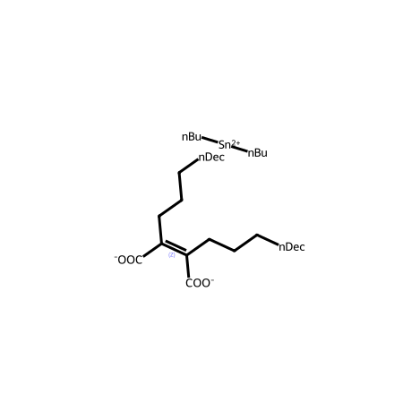 CCCCCCCCCCCCC/C(C(=O)[O-])=C(\CCCCCCCCCCCCC)C(=O)[O-].CCC[CH2][Sn+2][CH2]CCC